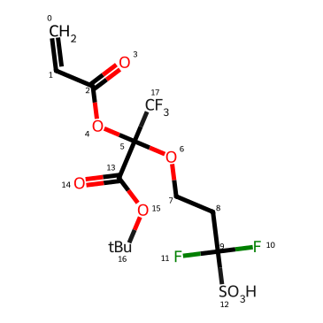 C=CC(=O)OC(OCCC(F)(F)S(=O)(=O)O)(C(=O)OC(C)(C)C)C(F)(F)F